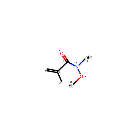 C=C(C)C(=O)N(CCC)OCC